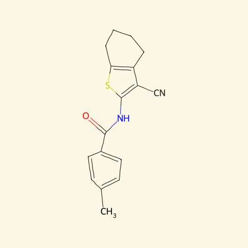 Cc1ccc(C(=O)Nc2sc3c(c2C#N)CCCC3)cc1